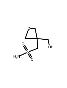 NS(=O)(=O)CC1(CO)COC1